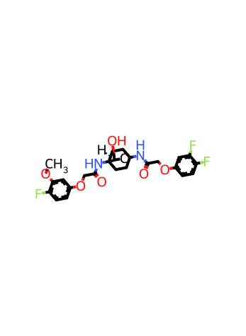 COc1cc(OCC(=O)NC23CCC(NC(=O)COc4ccc(F)c(F)c4)(CC2)C[C@@H]3O)ccc1F